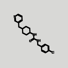 O=C(NCc1ccc(Cl)cc1)NC1CCC(Cc2cccnc2)CC1